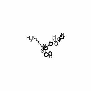 NCCCCCCn1nc(-c2ccc(NC(=O)N3Cc4ccncc4C3)cc2)cc(-c2cccc3ncccc23)c1=O